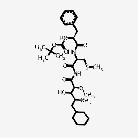 COC(C(=O)NC(=O)[C@H](CSC)NC(=O)[C@H](Cc1ccccc1)NC(=O)OC(C)(C)C)C(O)C(N)CC1CCCCC1